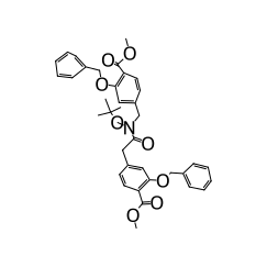 COC(=O)c1ccc(CC(=O)N(Cc2ccc(C(=O)OC)c(OCc3ccccc3)c2)OC(C)(C)C)cc1OCc1ccccc1